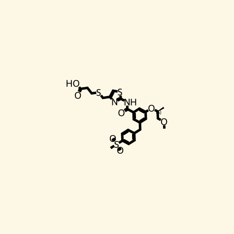 COC[C@H](C)Oc1cc(Cc2ccc(S(C)(=O)=O)cc2)cc(C(=O)Nc2nc(CSCCC(=O)O)cs2)c1